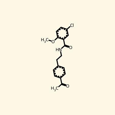 COc1ccc(Cl)cc1C(=O)NCCc1ccc(C(C)=O)cc1